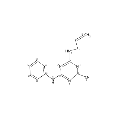 C=CCNc1nc(C#N)nc(Nc2ccccc2)n1